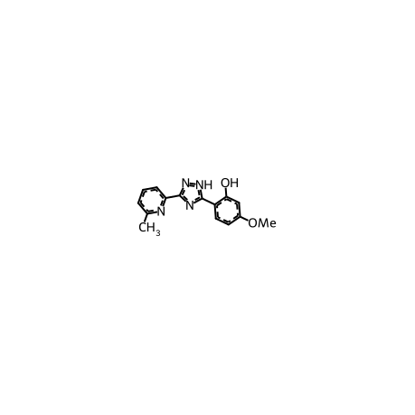 COc1ccc(-c2nc(-c3cccc(C)n3)n[nH]2)c(O)c1